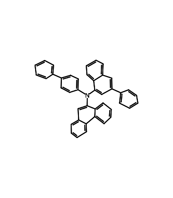 c1ccc(-c2ccc(N(c3cc(-c4ccccc4)cc4ccccc34)c3cc4ccccc4c4ccccc34)cc2)cc1